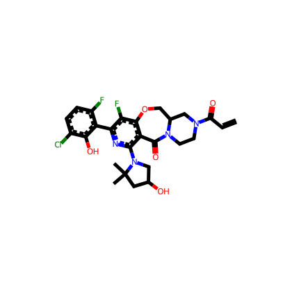 C=CC(=O)N1CCN2C(=O)c3c(N4CC(O)CC4(C)C)nc(-c4c(F)ccc(Cl)c4O)c(F)c3OCC2C1